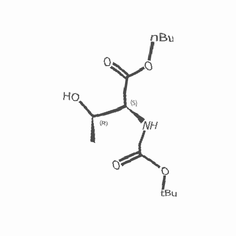 CCCCOC(=O)[C@@H](NC(=O)OC(C)(C)C)[C@@H](C)O